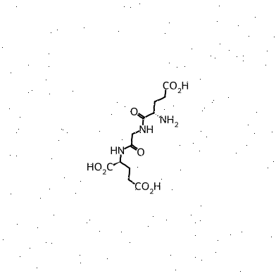 N[C@@H](CCC(=O)O)C(=O)NCC(=O)N[C@@H](CCC(=O)O)C(=O)O